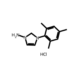 Cc1cc(C)c(N2C=CN(N)C2)c(C)c1.Cl